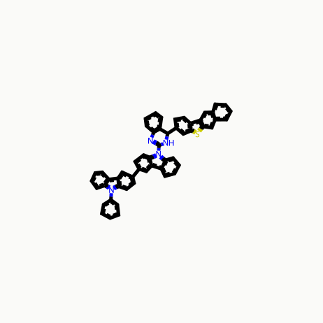 c1ccc(-n2c3ccccc3c3cc(-c4ccc5c(c4)c4ccccc4n5C4=Nc5ccccc5C(c5ccc6c(c5)sc5cc7ccccc7cc56)N4)ccc32)cc1